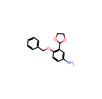 Nc1ccc(OCc2ccccc2)c(C2OCCO2)c1